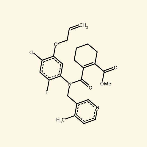 C=CCOc1cc(N(Cc2cnccc2C)C(=O)C2=C(C(=O)OC)CCCC2)c(F)cc1Cl